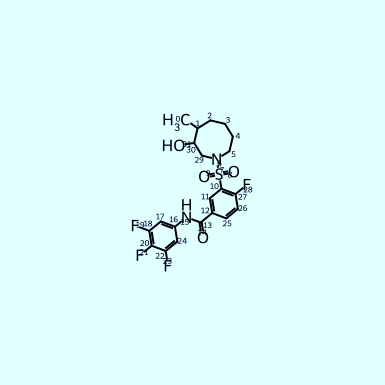 CC1CCCCN(S(=O)(=O)c2cc(C(=O)Nc3cc(F)c(F)c(F)c3)ccc2F)CC1O